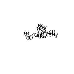 CC(C)(C)[S@@+]([O-])NC(CCCCCC1(c2ccon2)OCCO1)c1nc(Br)c(Br)n1COCC[Si](C)(C)C